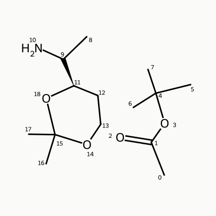 CC(=O)OC(C)(C)C.CC(N)[C@H]1CCOC(C)(C)O1